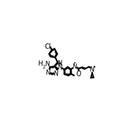 Cc1ccc(-n2nc(-c3ccc(Cl)cc3)c3c(N)ncnc32)cc1N(C)C(=O)/C=C/CN(C)C1CC1